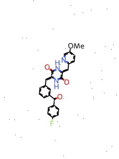 COc1ccc(C=c2[nH]c(=O)c(=Cc3cccc(C(=O)c4ccc(F)cc4)c3)[nH]c2=O)nc1